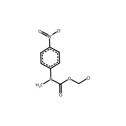 CN(C(=O)OCCl)c1ccc([N+](=O)[O-])cc1